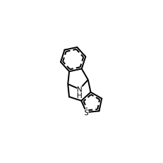 c1ccc2c(c1)C1Cc3sccc3C2N1